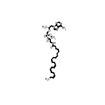 CC/C=C\C/C=C\C/C=C\C/C=C\C/C=C\C/C=C\CCC(=O)NCCNP(=O)(CO[C@H](C)Cn1cnc2c(N)ncnc21)OC